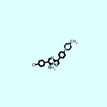 CN1CCN(c2ccc(-c3cnn4c(N)c(-c5ccc(Cl)cc5)cnc34)cc2)CC1